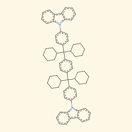 c1ccc2c(c1)c1ccccc1n2-c1ccc(C(c2ccc(C(c3ccc(-n4c5ccccc5c5ccccc54)cc3)(C3CCCCC3)C3CCCCC3)cc2)(C2CCCCC2)C2CCCCC2)cc1